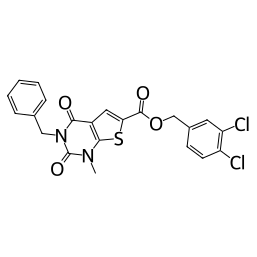 Cn1c(=O)n(Cc2ccccc2)c(=O)c2cc(C(=O)OCc3ccc(Cl)c(Cl)c3)sc21